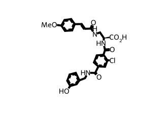 COc1ccc(/C=C/C(=O)NC[C@H](NC(=O)c2ccc(C(=O)NCc3cccc(O)c3)cc2Cl)C(=O)O)cc1